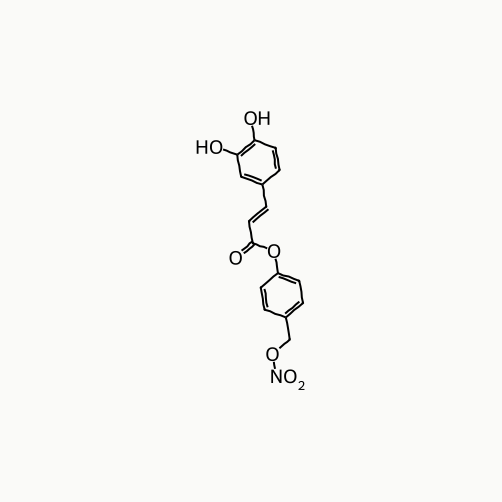 O=C(C=Cc1ccc(O)c(O)c1)Oc1ccc(CO[N+](=O)[O-])cc1